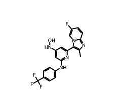 Cc1nc2ccc(F)cn2c1-c1cc(NO)cc(Nc2ccc(C(F)(F)F)cc2)n1